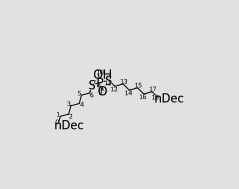 CCCCCCCCCCCCCCCCSP(=O)(O)SCCCCCCCCCCCCCCCC